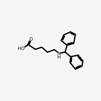 O=C(O)CCCCNC(c1ccccc1)c1ccccc1